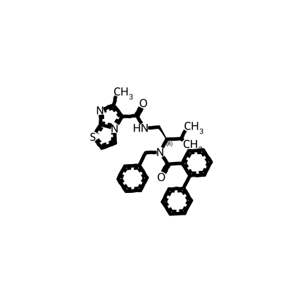 Cc1nc2sccn2c1C(=O)NC[C@@H](C(C)C)N(Cc1ccccc1)C(=O)c1ccccc1-c1ccccc1